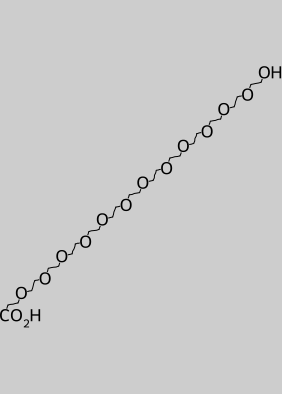 O=C(O)CCOCCOCCOCCOCCOCCOCCOCCOCCOCCOCCOCCOCCO